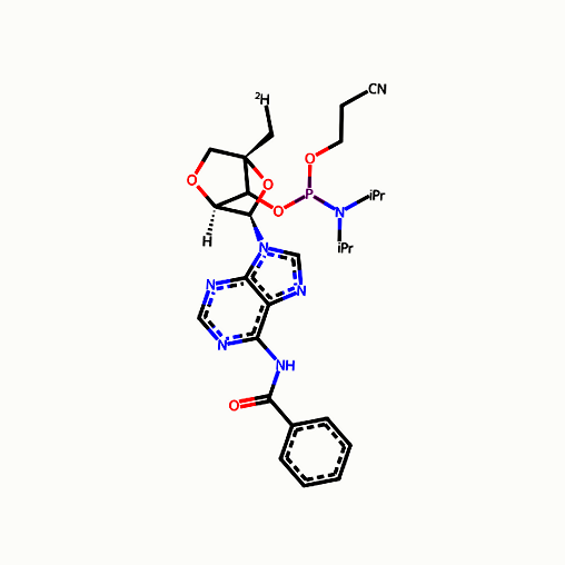 [2H]C[C@]12CO[C@@H](C1OP(OCCC#N)N(C(C)C)C(C)C)[C@H](n1cnc3c(NC(=O)c4ccccc4)ncnc31)O2